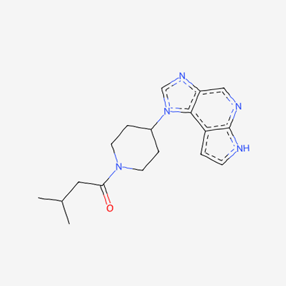 CC(C)CC(=O)N1CCC(n2cnc3cnc4[nH]ccc4c32)CC1